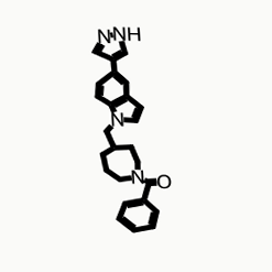 O=C(c1ccccc1)N1CCCC(Cn2ccc3cc(-c4cn[nH]c4)ccc32)CC1